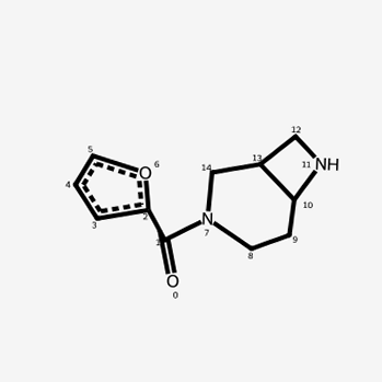 O=C(c1ccco1)N1CCC2NCC2C1